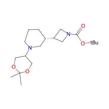 CC(C)(C)OC(=O)N1CC([C@H]2CCCN(C3COC(C)(C)OC3)C2)C1